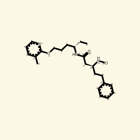 CC[C@@H](CCCOc1ncccc1C)NC(=O)C[C@H](CCc1ccccc1)NCl